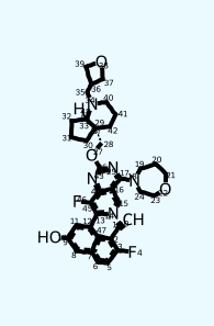 C#Cc1c(F)ccc2cc(O)cc(-c3ncc4c(N5CCCOCC5)nc(OC[C@]56CCC[C@H]5N(CC5COC5)CCC6)nc4c3F)c12